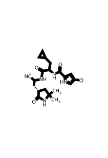 CC1(C)C[C@@H](CC(C#N)NC(=O)C(CC2CC2)NC(=O)c2cc(Cl)c[nH]2)C(=O)N1